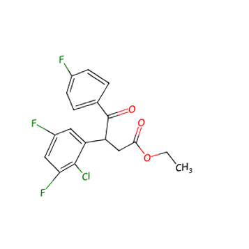 CCOC(=O)CC(C(=O)c1ccc(F)cc1)c1cc(F)cc(F)c1Cl